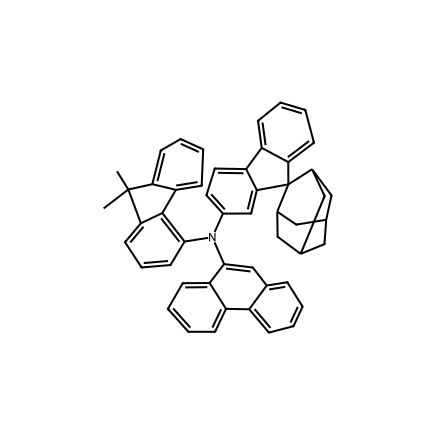 CC1(C)c2ccccc2-c2c(N(c3ccc4c(c3)C3(c5ccccc5-4)C4CC5CC(C4)CC3C5)c3cc4ccccc4c4ccccc34)cccc21